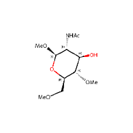 COC[C@H]1O[C@@H](OC)[C@H](NC(C)=O)[C@@H](O)[C@@H]1OC